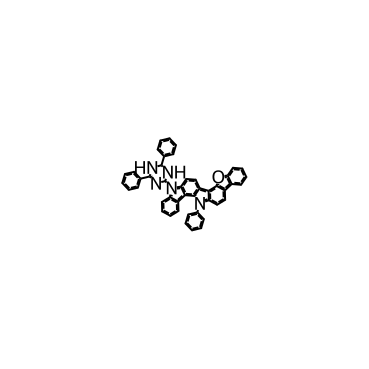 c1ccc(C2=NC(n3c4ccccc4c4c5c(ccc43)c3c4oc6ccccc6c4ccc3n5-c3ccccc3)NC(c3ccccc3)N2)cc1